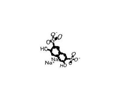 O=S(=O)([O-])c1cc2cc(S(=O)(=O)[O-])c(O)cc2cc1O.[Na+].[Na+]